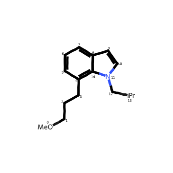 COCCCc1cccc2ccn(CC(C)C)c12